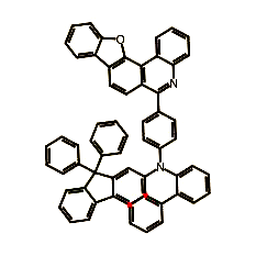 c1ccc(-c2ccccc2N(c2ccc(-c3nc4ccccc4c4c3ccc3c5ccccc5oc34)cc2)c2ccc3c(c2)C(c2ccccc2)(c2ccccc2)c2ccccc2-3)cc1